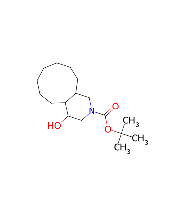 CC(C)(C)OC(=O)N1CC(O)C2CCCCCCCC2C1